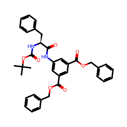 CC(C)(C)OC(=O)N[C@@H](Cc1ccccc1)C(=O)Nc1cc(C(=O)OCc2ccccc2)cc(C(=O)OCc2ccccc2)c1